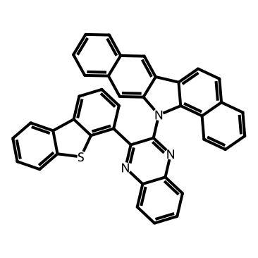 c1ccc2cc3c(cc2c1)c1ccc2ccccc2c1n3-c1nc2ccccc2nc1-c1cccc2c1sc1ccccc12